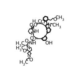 C=CC(=O)N1CC2(CCN([C@H](C(=O)NCC[C@H]3Cc4cc(O)cc(c4)-c4ccc5c(c4)c(c(-c4ccccc4CCOC)n5CC)CC(C)(C)COC(=O)[C@@H]4CCCN(N4)C3=O)C(C)C)C2=O)C1